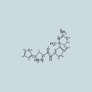 CC1(c2cc(NC(=O)C3=NNC(c4cccs4)C3)ccc2F)CCSC(N)=N1